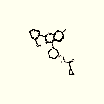 Cc1ccc2c(N3CCC[C@@H](CNC(=O)C4CC4)C3)nc(-c3ccccc3O)nc2c1